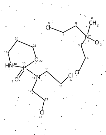 C[N+]([O-])(CCCl)CCCl.O=P1(N(CCCl)CCCl)NCCCO1